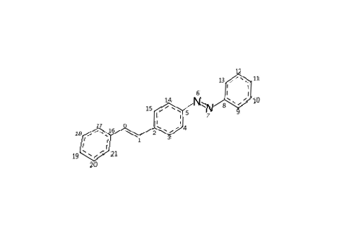 C(=Cc1ccc(N=Nc2ccccc2)cc1)c1ccccc1